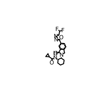 O=C(N[C@@H]1CCCC[C@H]1N1Cc2ccc(-c3nnc(C(F)F)o3)cc2C1=O)C1CC1